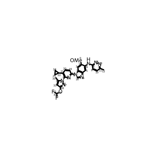 COc1cc2c(cc1Nc1ccc(C)nn1)ncn2-c1ccc(C2CC2)c(-n2nc(OC(F)F)cc2C)n1